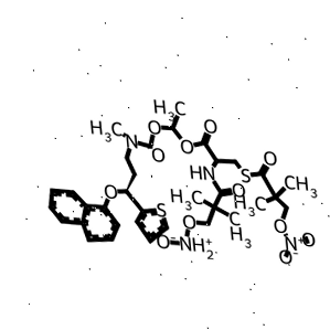 CC(OC(=O)C(CSC(=O)C(C)(C)CO[N+](=O)[O-])NC(=O)C(C)(C)CO[NH2+][O-])OC(=O)N(C)CC[C@H](Oc1cccc2ccccc12)c1cccs1